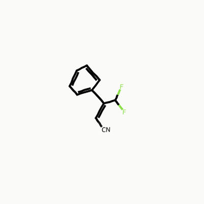 N#CC=C(c1ccccc1)C(F)F